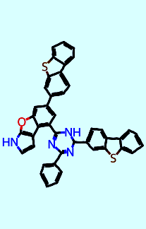 c1ccc(C2=NC(c3ccc4c(c3)sc3ccccc34)NC(c3cc(-c4ccc5c(c4)sc4ccccc45)cc4oc5[nH]ccc5c34)=N2)cc1